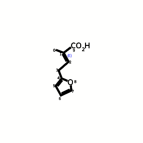 C/C(=C\Cc1ccco1)C(=O)O